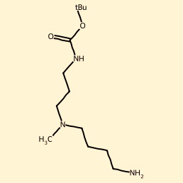 CN(CCCCN)CCCNC(=O)OC(C)(C)C